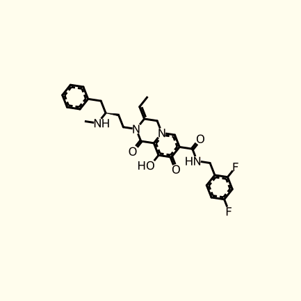 C/C=C1\Cn2cc(C(=O)NCc3ccc(F)cc3F)c(=O)c(O)c2C(=O)N1CC[C@H](Cc1ccccc1)NC